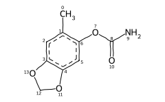 Cc1cc2c(cc1OC(N)=O)OCO2